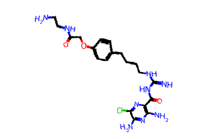 N=C(NCCCCc1ccc(OCC(=O)NCCN)cc1)NC(=O)c1nc(Cl)c(N)nc1N